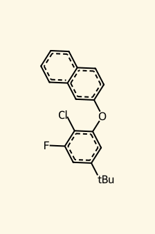 CC(C)(C)c1cc(F)c(Cl)c(Oc2ccc3ccccc3c2)c1